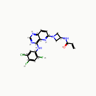 C=CC(=O)NC1CN(c2ccc3ncnc(Nc4cc(Cl)c(F)cc4F)c3n2)C1